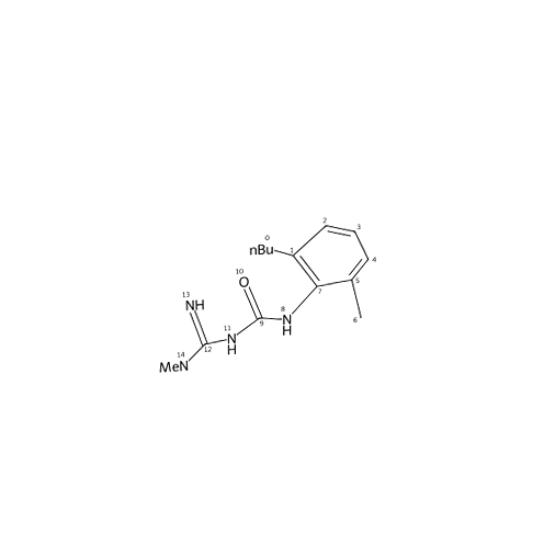 CCCCc1cccc(C)c1NC(=O)NC(=N)NC